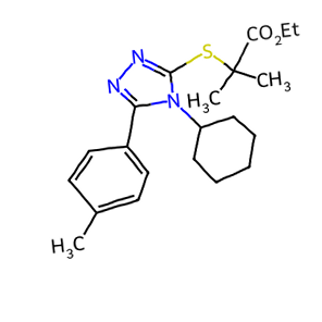 CCOC(=O)C(C)(C)Sc1nnc(-c2ccc(C)cc2)n1C1CCCCC1